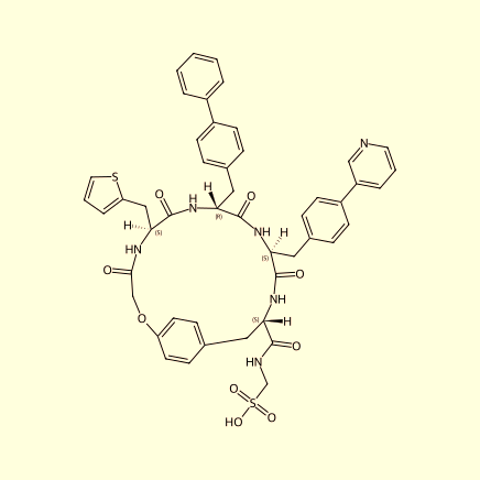 O=C1COc2ccc(cc2)C[C@@H](C(=O)NCS(=O)(=O)O)NC(=O)[C@H](Cc2ccc(-c3cccnc3)cc2)NC(=O)[C@@H](Cc2ccc(-c3ccccc3)cc2)NC(=O)[C@H](Cc2cccs2)N1